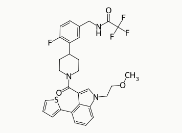 COCCn1cc(C(=O)N2CCC(c3cc(CNC(=O)C(F)(F)F)ccc3F)CC2)c2c(-c3cccs3)cccc21